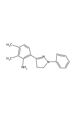 Cc1ccc(C2=NN(c3ccccc3)CC2)c(N)c1C